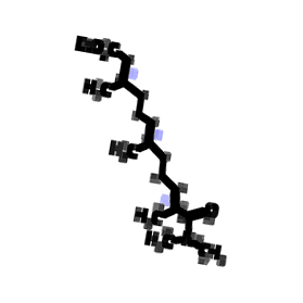 CCOC(=O)/C=C(\C)CC/C=C(\C)CC/C=C(\C)C(=O)N(C)C